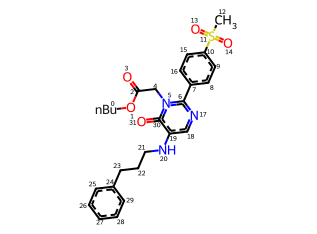 CCCCOC(=O)Cn1c(-c2ccc(S(C)(=O)=O)cc2)ncc(NCCCc2ccccc2)c1=O